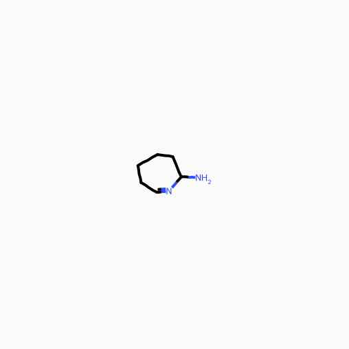 NC1CCCCC=N1